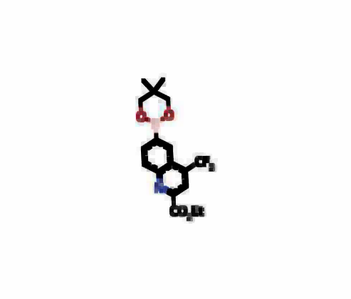 CCOC(=O)c1cc(C(F)(F)F)c2cc(B3OCC(C)(C)CO3)ccc2n1